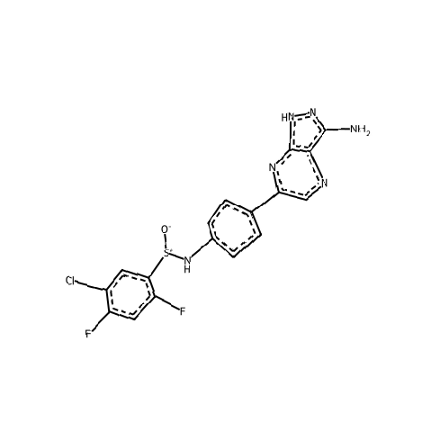 Nc1n[nH]c2nc(-c3ccc(N[S+]([O-])c4cc(Cl)c(F)cc4F)cc3)cnc12